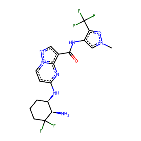 Cn1cc(NC(=O)c2cnn3ccc(N[C@@H]4CCCC(F)(F)[C@@H]4N)nc23)c(C(F)(F)F)n1